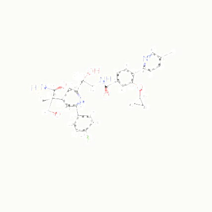 Cc1ccc(-c2ccc(C(=O)NC[C@](C)(O)c3cc4c(c(-c5ccc(F)cc5)n3)OC[C@]4(C)C(N)=O)cc2OC2CC2)nc1